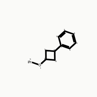 CC(C)OC1CC(c2ccccc2)C1